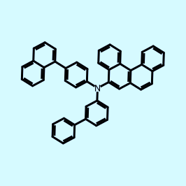 c1ccc(-c2cccc(N(c3ccc(-c4cccc5ccccc45)cc3)c3cc4ccc5ccccc5c4c4ccccc34)c2)cc1